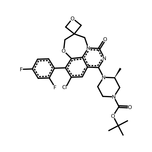 C[C@H]1CN(C(=O)OC(C)(C)C)CCN1c1nc(=O)n2c3c(c(-c4ccc(F)cc4F)c(Cl)cc13)OCC1(COC1)C2